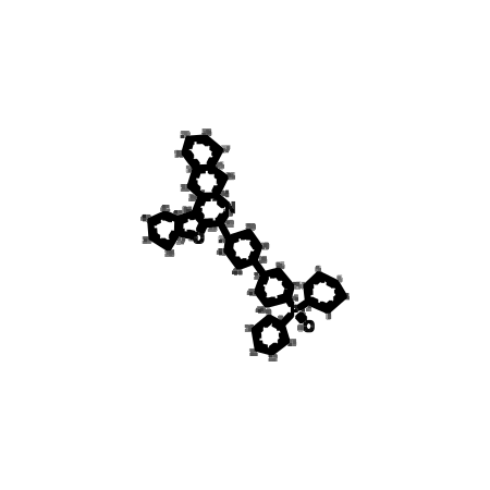 O=P(c1ccccc1)(c1ccccc1)c1ccc(-c2ccc(-c3nc4cc5ccccc5cc4c4c3oc3ccccc34)cc2)cc1